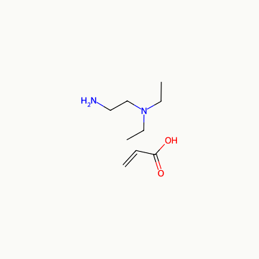 C=CC(=O)O.CCN(CC)CCN